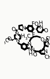 COC[C@H]1CN(C(=O)[C@@H]2CCN(c3cc(F)c([C@H]4CCC(=O)NC4=O)c(F)c3)C2)CCN1Cc1ccc2c(c1)N1C[C@H](C)CCCOc3c(cnn3C)-c3cc(cc(C)n3)C(=O)/N=C/1N2